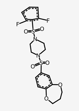 O=S(=O)(c1ccc2c(c1)OCCCO2)N1CCN(S(=O)(=O)c2c(F)cccc2F)CC1